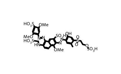 COc1cc(S(=O)(=O)O)c(OC)cc1/N=N/c1c(NCS(=O)(=O)O)ccc2c(OC)c(/N=N/c3cc(C)c(S(=O)(=O)CCOS(=O)(=O)O)cc3O)c(S(=O)(=O)O)cc12